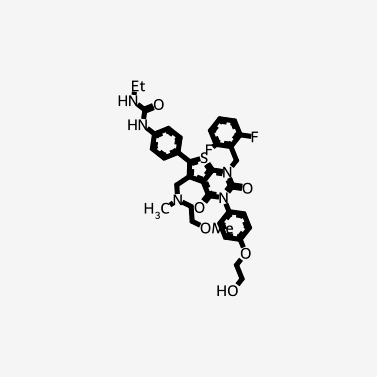 CCNC(=O)Nc1ccc(-c2sc3c(c2CN(C)CCOC)c(=O)n(-c2ccc(OCCO)cc2)c(=O)n3Cc2c(F)cccc2F)cc1